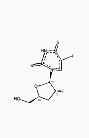 OC[C@@H]1C[C@H](F)[C@H](n2cc(F)c(=S)[nH]c2=S)O1